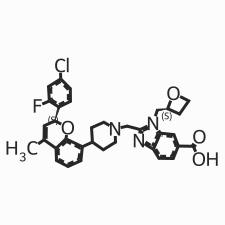 CC1=C[C@@H](c2ccc(Cl)cc2F)Oc2c1cccc2C1CCN(Cc2nc3ccc(C(=O)O)cc3n2C[C@@H]2CCO2)CC1